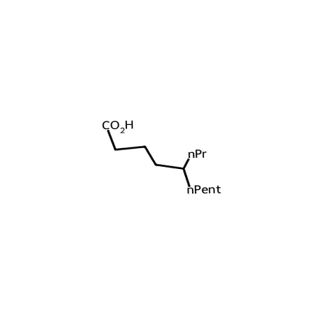 CCCCCC(CCC)CCCC(=O)O